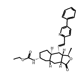 CCOC(=O)N[C@@H]1CC[C@@H]2[C@@H](C1)C[C@H]1C(=O)O[C@H](C)[C@H]1[C@H]2/C=C/c1ccc(-c2ccccc2)cn1